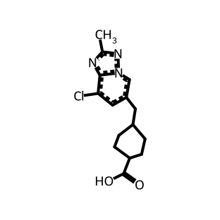 Cc1nc2c(Cl)cc(CC3CCC(C(=O)O)CC3)cn2n1